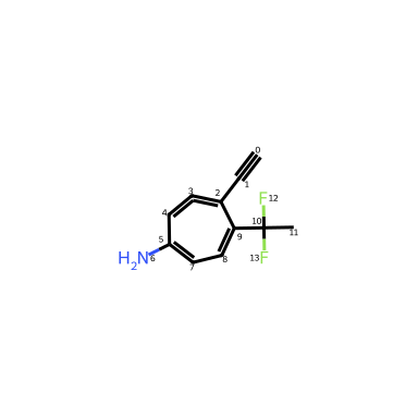 C#CC1=C=CC(N)=CC=C1C(C)(F)F